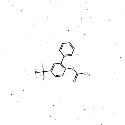 CC(=O)Oc1ccc(C(F)(F)F)cc1-c1ccccc1